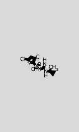 CC1(NC(=N)NS(=O)(=O)c2sc(Cl)cc2Cl)CC1